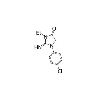 CCN1C(=N)N(c2ccc(Cl)cc2)CC1=O